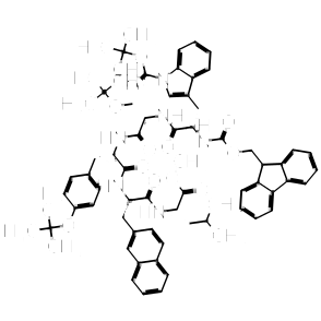 COC(=O)[C@H](CC(C)C)NC(=O)[C@@H](Cc1ccc2ccccc2c1)NC(=O)[C@H](Cc1ccc(OC(C)(C)C)cc1)NC(=O)[C@H](COC(C)(C)C)NC(=O)[C@H](Cc1cn(C(=O)OC(C)(C)C)c2ccccc12)NC(=O)OCC1c2ccccc2-c2ccccc21